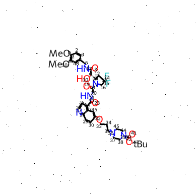 COc1ccc(CNC(=O)C(O)[C@@H]2CC(F)(F)CN2C(=O)CNC(=O)c2ccnc3ccc(OCCCN4CCN(C(=O)OC(C)(C)C)CC4)cc23)cc1OC